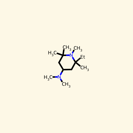 CCC1(C)CC(N(C)C)CC(C)(C)N1C